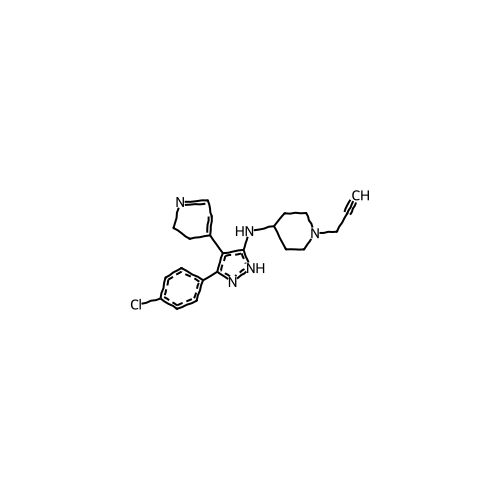 C#CCN1CCC(Nc2[nH]nc(-c3ccc(Cl)cc3)c2C2=CC=NCC2)CC1